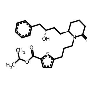 CC(C)OC(=O)c1ccc(CCCN2C(=O)CCC[C@@H]2CC[C@H](O)Cc2ccccc2)s1